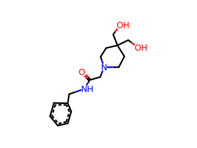 O=C(CN1CCC(CO)(CO)CC1)NCc1ccccc1